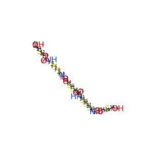 O=C(NCSCSCSC/N=C/OOCSCSCOC(=O)NCSCSCSC/N=C\OOCCSCCO)OCCSCCO